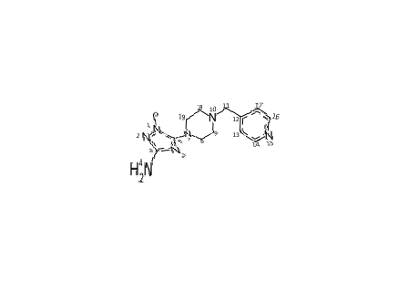 Cn1nc(N)nc1N1CCN(Cc2ccncc2)CC1